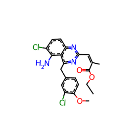 CCOC(=O)C(C)=Cc1nc(Cc2ccc(OC)c(Cl)c2)c2c(N)c(Cl)ccc2n1